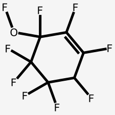 FOC1(F)C(F)=C(F)C(F)C(F)(F)C1(F)F